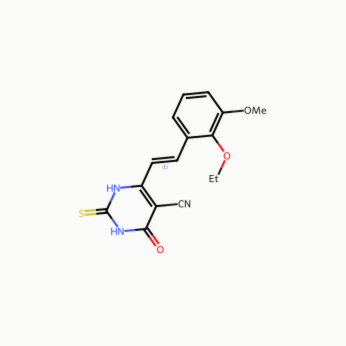 CCOc1c(/C=C/c2[nH]c(=S)[nH]c(=O)c2C#N)cccc1OC